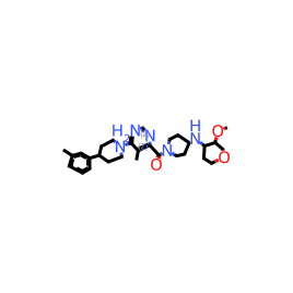 C=C(/C(C)=C(\N=C/N)C(=O)N1CCC(NC2CCOCC2OC)CC1)N1CCC(c2cccc(C)c2)CC1